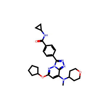 CN(c1cc(OC2CCCC2)nn2c(-c3ccc(C(=O)NC4CC4)cc3)nnc12)C1CCOCC1